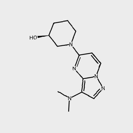 CN(C)c1cnn2ccc(N3CCC[C@H](O)C3)nc12